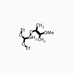 CCOC(OCC)[SiH2]OC(C)=C(C)OC